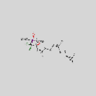 COP(=O)(OC)C(F)(F)C(=O)C=C(C)CCC=C(C)CCC=C(C)C